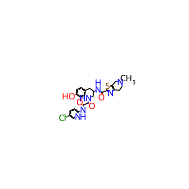 CN1CCc2nc(C(=O)NC(CNC(=O)C(=O)Nc3ccc(Cl)cn3)Cc3ccc(O)cc3)sc2C1